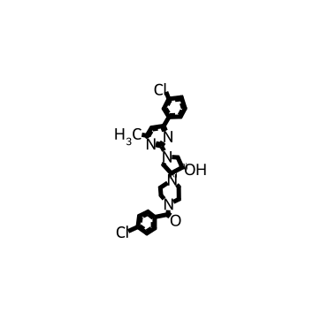 Cc1cc(-c2cccc(Cl)c2)nc(N2C[C@@H](O)[C@H](N3CCN(C(=O)c4ccc(Cl)cc4)CC3)C2)n1